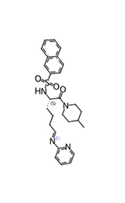 CC1CCN(C(=O)[C@H](CCC/C=N/c2ccccn2)NS(=O)(=O)c2ccc3ccccc3c2)CC1